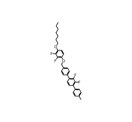 CCCCCCCOc1ccc(OCc2ccc(-c3ccc(-c4ccc(C)cc4)c(F)c3F)cc2)c(F)c1F